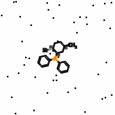 CC(C)[C@@H]1CC[C@@H](C)C[C@H]1P(c1ccccc1)c1ccccc1